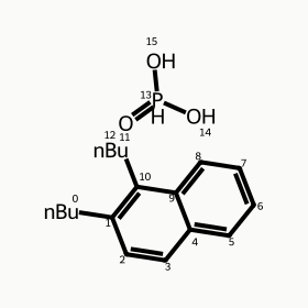 CCCCc1ccc2ccccc2c1CCCC.O=[PH](O)O